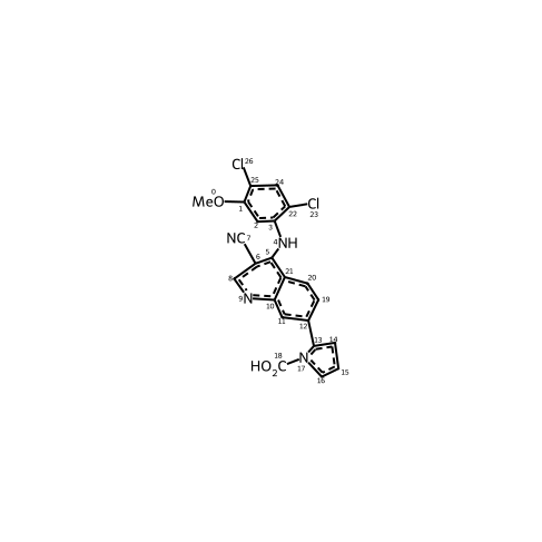 COc1cc(Nc2c(C#N)cnc3cc(-c4cccn4C(=O)O)ccc23)c(Cl)cc1Cl